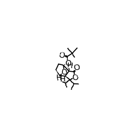 CC(C)C1(C(C)C)OC(=O)[C@@H]2[C@H]1[C@H]1CC[C@]2(OC(=O)C(C)(C)C)O1